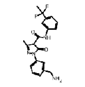 CC1=NN(c2cccc(CN)c2)C(=O)C1C(=O)Nc1cccc(C(C)(F)F)c1